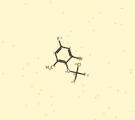 Cc1cc(F)cc(Br)c1OC(F)(F)Cl